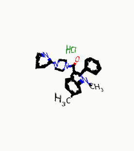 Cc1ccc2c(C(=O)N3CCN(c4ccccn4)CC3)c(-c3ccccc3)n(C)c2c1.Cl